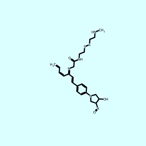 C=C\C=C/C(/C=C/c1ccc(N2CC(O)C(N=O)C2)cc1)=N/CC(=O)NCCSSCCNC